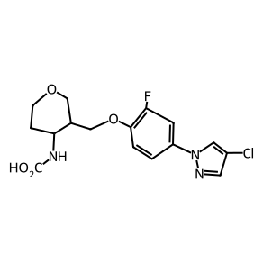 O=C(O)NC1CCOCC1COc1ccc(-n2cc(Cl)cn2)cc1F